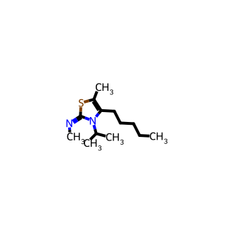 CCCCCc1c(C)s/c(=N/C)n1C(C)C